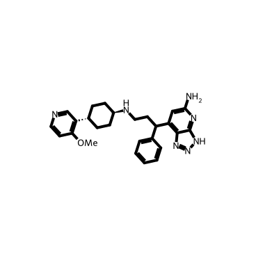 COc1ccncc1[C@H]1CC[C@H](NCCC(c2ccccc2)c2cc(N)nc3[nH]nnc23)CC1